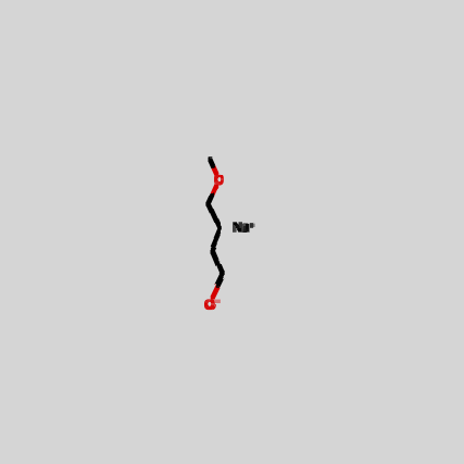 COCCCC[O-].[Na+]